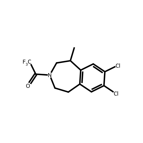 CC1CN(C(=O)C(F)(F)F)CCc2cc(Cl)c(Cl)cc21